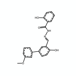 COc1cccc(-c2ccc(O)c(C=NNC(=O)c3ccccc3O)c2)c1